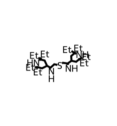 CCC1(CC)CC(C(=N)CSCC(=N)C2CC(CC)(CC)NC(CC)(CC)C2)CC(CC)(CC)N1